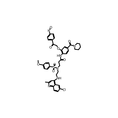 COc1ccc(S(=O)(=O)N(CCNc2cc(C)nc3ccc(Cl)cc23)CCC(=O)Nc2ccc(C(=O)N3CCCCC3)cc2OCC(=O)c2ccc(N=O)cc2)cc1